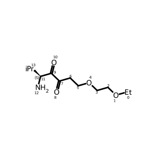 CCOCCOCCC(=O)C(=O)[C@@H](N)C(C)C